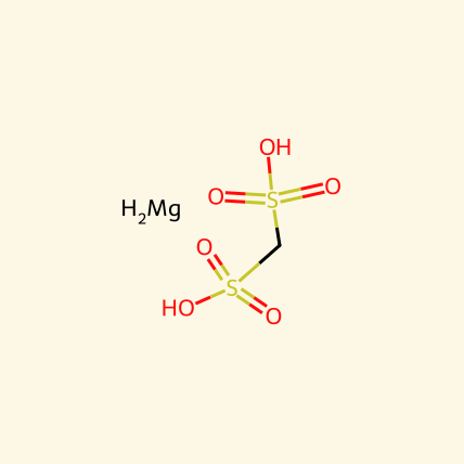 O=S(=O)(O)CS(=O)(=O)O.[MgH2]